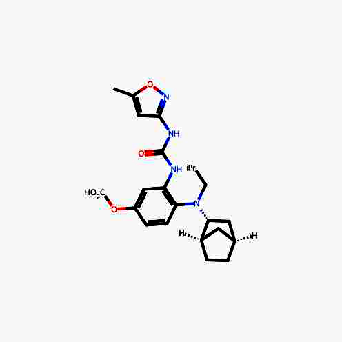 Cc1cc(NC(=O)Nc2cc(OC(=O)O)ccc2N(CC(C)C)[C@@H]2C[C@H]3CC[C@@H]2C3)no1